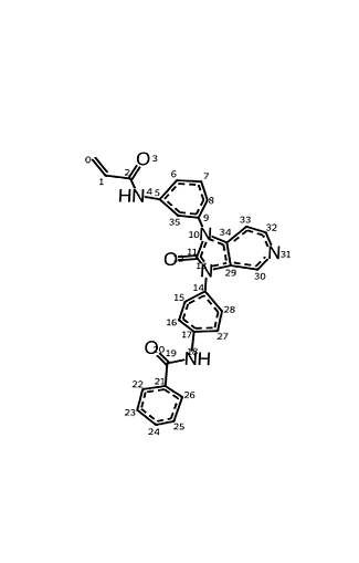 C=CC(=O)Nc1cccc(-n2c(=O)n(-c3ccc(NC(=O)c4ccccc4)cc3)c3cnccc32)c1